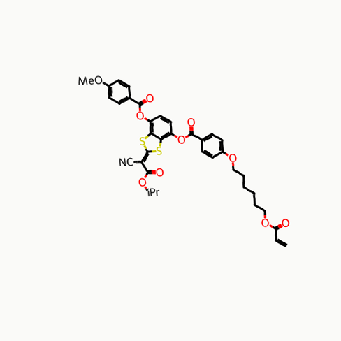 C=CC(=O)OCCCCCCOc1ccc(C(=O)Oc2ccc(OC(=O)c3ccc(OC)cc3)c3c2S/C(=C(/C#N)C(=O)OC(C)C)S3)cc1